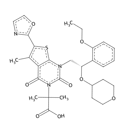 CCOc1ccccc1[C@@H](Cn1c(=O)n(C(C)(C)C(=O)O)c(=O)c2c(C)c(-c3ncco3)sc21)OC1CCOCC1